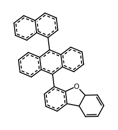 C1=CC2Oc3c(-c4c5ccccc5c(-c5cccc6ccccc56)c5ccccc45)cccc3C2C=C1